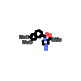 COC(=O)C1CNCCN1C(=O)C1=Cc2cc(OC)c(OC)cc2CCC1